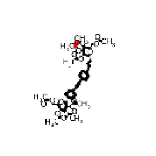 CC(=O)OC[C@H]1O[C@H](C/C=C/c2ccc(C#Cc3ccc([C@H]4O[C@H](COC(C)=O)[C@@H](OC(C)=O)[C@H](OC(C)=O)[C@@H]4OC(C)=O)cc3)cc2)[C@@H](OC(C)=O)[C@@H](OC(C)=O)[C@@H]1OC(C)=O